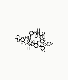 CC(=O)Oc1cccc(NC(=O)Nc2cc3ccc(OC4CCN(C)CC4)c(Cc4cc(OC5CCN(C)CC5)c(C)c5oc(=O)c(NC(=O)Nc6cccc(O)c6)cc45)c3oc2=O)c1